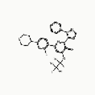 [2H]C([2H])(F)C([2H])([2H])Oc1cn(-c2ccc(C3CCOCC3)cc2F)nc(-c2ccnn2-c2ccccc2)c1=O